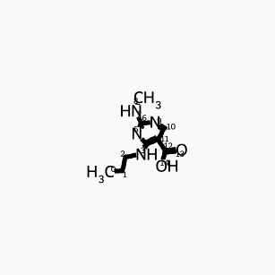 CCCNc1nc(NC)ncc1C(=O)O